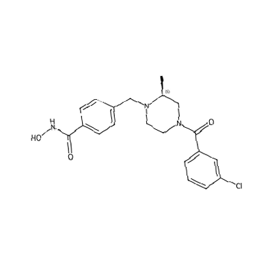 C[C@H]1CN(C(=O)c2cccc(Cl)c2)CCN1Cc1ccc(C(=O)NO)cc1